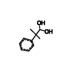 CC(C)(c1ccccc1)C(O)O